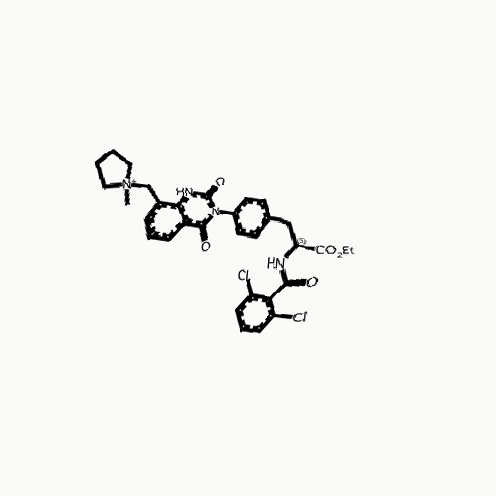 CCOC(=O)[C@H](Cc1ccc(-n2c(=O)[nH]c3c(C[N+]4(C)CCCC4)cccc3c2=O)cc1)NC(=O)c1c(Cl)cccc1Cl